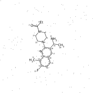 CCC(=O)N1CCN(c2nc3c(C)c(F)ccc3cc2C(C)N)CC1